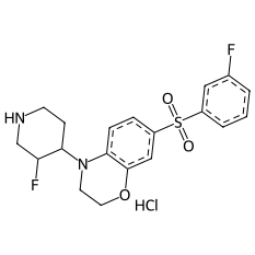 Cl.O=S(=O)(c1cccc(F)c1)c1ccc2c(c1)OCCN2C1CCNCC1F